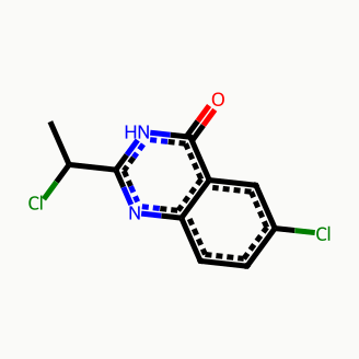 CC(Cl)c1nc2ccc(Cl)cc2c(=O)[nH]1